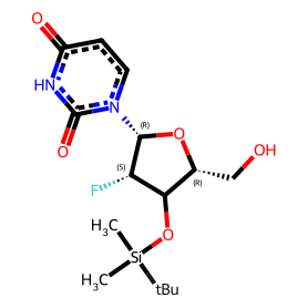 CC(C)(C)[Si](C)(C)OC1[C@@H](CO)O[C@@H](n2ccc(=O)[nH]c2=O)[C@H]1F